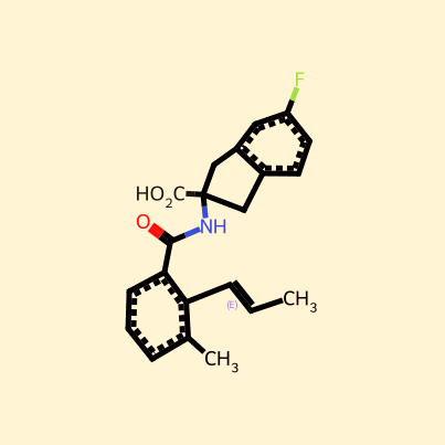 C/C=C/c1c(C)cccc1C(=O)NC1(C(=O)O)Cc2ccc(F)cc2C1